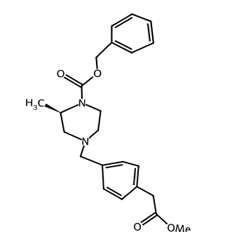 COC(=O)Cc1ccc(CN2CCN(C(=O)OCc3ccccc3)[C@H](C)C2)cc1